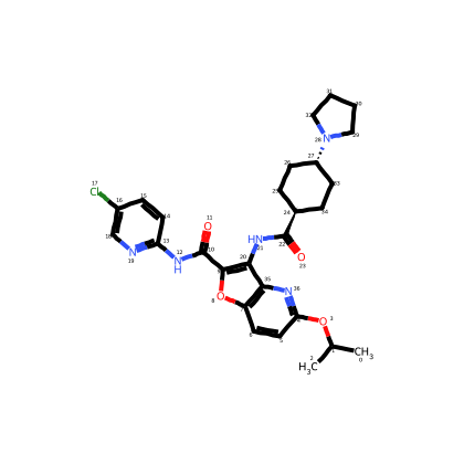 CC(C)Oc1ccc2oc(C(=O)Nc3ccc(Cl)cn3)c(NC(=O)[C@H]3CC[C@H](N4CCCC4)CC3)c2n1